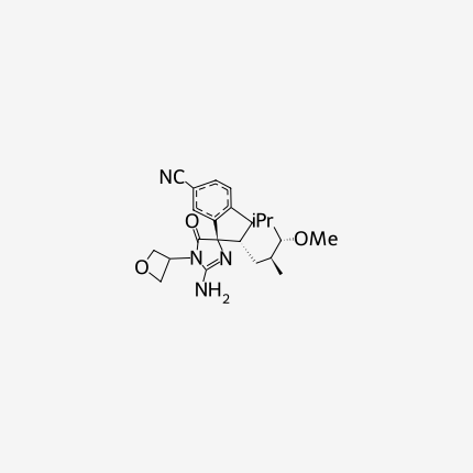 CO[C@@H](C(C)C)[C@@H](C)C[C@H]1Cc2ccc(C#N)cc2[C@]12N=C(N)N(C1COC1)C2=O